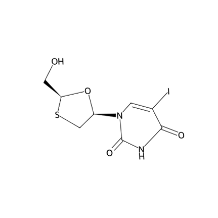 O=c1[nH]c(=O)n([C@H]2CS[C@@H](CO)O2)cc1I